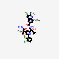 COc1cc(C(=O)NC[C@](O)(c2cc3c(c(-c4cccc(Br)c4F)n2)OC[C@]3(C)C(N)=O)C2CC2)cc2cc(Cl)c(C)nc12